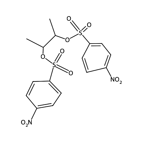 CC(OS(=O)(=O)c1ccc([N+](=O)[O-])cc1)C(C)OS(=O)(=O)c1ccc([N+](=O)[O-])cc1